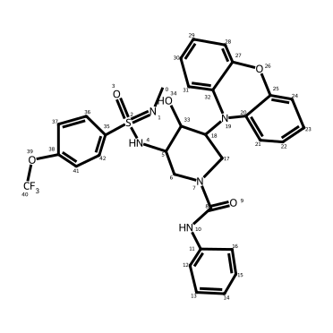 CN=S(=O)(NC1CN(C(=O)Nc2ccccc2)CC(N2c3ccccc3Oc3ccccc32)C1O)c1ccc(OC(F)(F)F)cc1